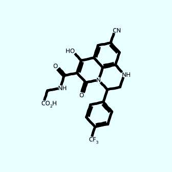 N#Cc1cc2c3c(c1)c(O)c(C(=O)NCC(=O)O)c(=O)n3C(c1ccc(C(F)(F)F)cc1)CN2